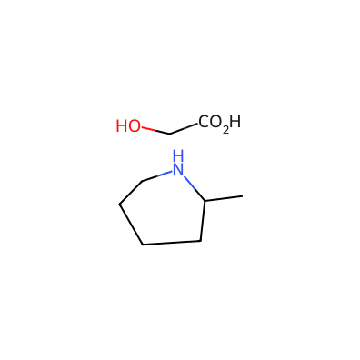 CC1CCCCN1.O=C(O)CO